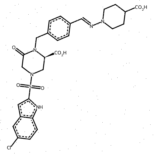 O=C(O)C1CCN(N=Cc2ccc(CN3C(=O)CN(S(=O)(=O)c4cc5cc(Cl)ccc5[nH]4)C[C@@H]3C(=O)O)cc2)CC1